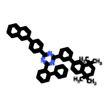 CC1(C)CCC(C)(C)c2cc(-c3cccc(-c4nc(-c5ccc(-c6ccc7ccccc7c6)cc5)nc(-c5ccccc5-c5ccccc5)n4)c3)ccc21